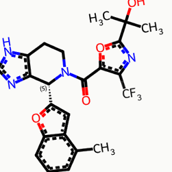 Cc1cccc2oc([C@@H]3c4nc[nH]c4CCN3C(=O)c3oc(C(C)(C)O)nc3C(F)(F)F)cc12